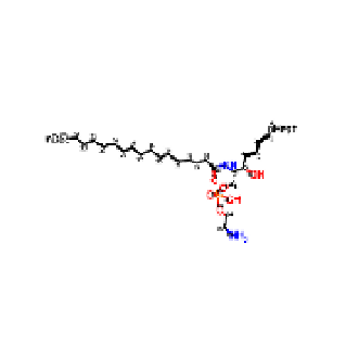 CCCCCCC/C=C/C=C/[C@@H](O)[C@H](COP(=O)(O)OCCN)NC(=O)CCCCCCCCCCCCCCCCCCCCCCCCC